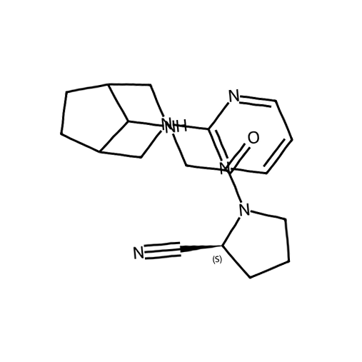 N#C[C@@H]1CCCN1C(=O)CNC1C2CCC1CN(c1ncccn1)C2